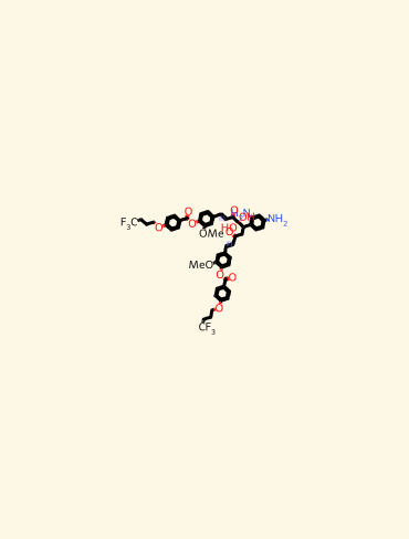 COc1cc(/C=C/C(=O)CC(c2ccc(N)cc2N)C(O)(O)C(=O)/C=C/c2ccc(OC(=O)c3ccc(OCCCC(F)(F)F)cc3)c(OC)c2)ccc1OC(=O)c1ccc(OCCCC(F)(F)F)cc1